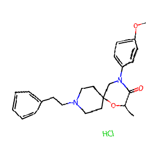 COc1ccc(N2CC3(CCN(CCc4ccccc4)CC3)OC(C)C2=O)cc1.Cl